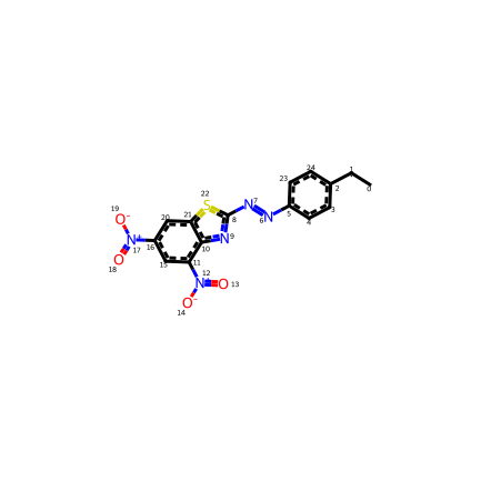 C[CH]c1ccc(N=Nc2nc3c([N+](=O)[O-])cc([N+](=O)[O-])cc3s2)cc1